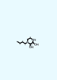 CCCCN1CCNC(O)C1O